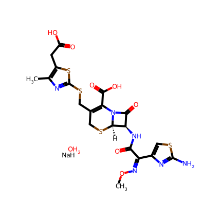 CO/N=C(\C(=O)N[C@@H]1C(=O)N2C(C(=O)O)=C(CSc3nc(C)c(CC(=O)O)s3)CS[C@H]12)c1csc(N)n1.O.[NaH]